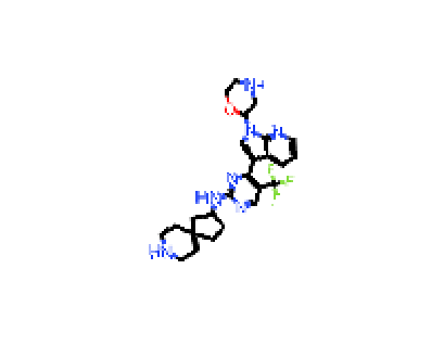 FC(F)(F)c1cnc(NC2CCC3(CCNCC3)C2)nc1-c1cn(C2CNCCO2)c2ncccc12